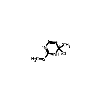 CSC1=NC=CC(C)(Cl)N1